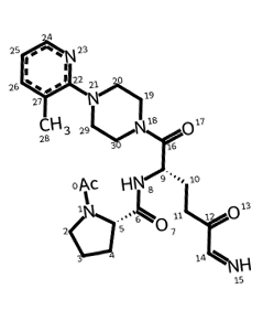 CC(=O)N1CCC[C@H]1C(=O)N[C@@H](CCC(=O)C=N)C(=O)N1CCN(c2ncccc2C)CC1